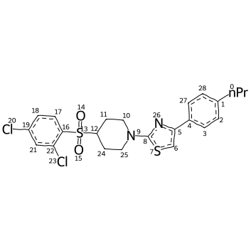 CCCc1ccc(-c2csc(N3CCC(S(=O)(=O)c4ccc(Cl)cc4Cl)CC3)n2)cc1